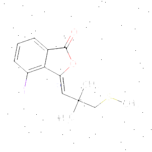 CSCC(C)(C)/C=C1\OC(=O)c2cccc(I)c21